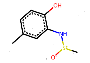 Cc1ccc(O)c(N[S+](C)[O-])c1